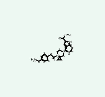 COC(=O)c1cc2c(N3CCN(C(=O)Cc4ccc(CN)cc4)C4(CC4)C3)ncnc2[nH]1